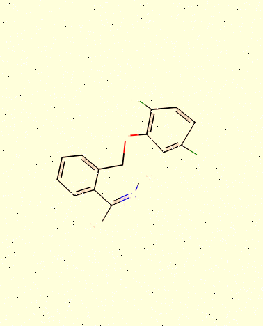 CO/N=C(/C#N)c1ccccc1COc1cc(Cl)ccc1Cl